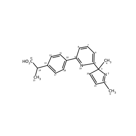 CC1=NC(C)(c2cccc(-c3ccc(C(C)C(=O)O)cc3)n2)C=C1